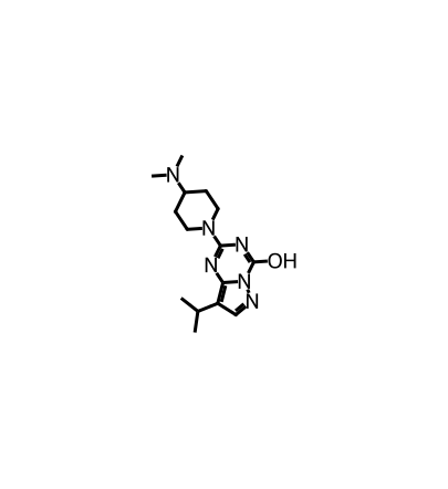 CC(C)c1cnn2c(O)nc(N3CCC(N(C)C)CC3)nc12